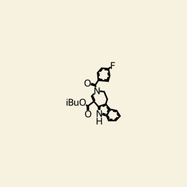 CC(C)COC(=O)C1=CN(C(=O)c2ccc(F)cc2)CCc2c1[nH]c1ccccc21